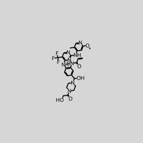 C=CC(=O)Nc1cc(C(O)N2CCN(C(=O)CO)CC2)ccc1Nc1nc(Nc2cc(OC)ncc2C)ncc1C(F)(F)F